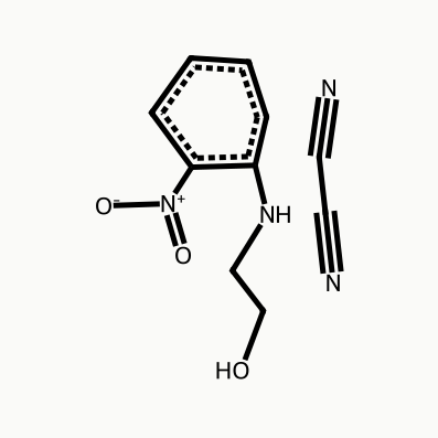 N#CC#N.O=[N+]([O-])c1ccccc1NCCO